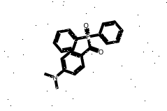 CN(C)c1ccc(C(=O)P(=O)(c2ccccc2)c2ccccc2)cc1